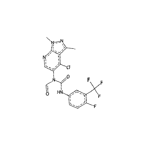 Cc1nn(C)c2ncc(N(C=O)C(=O)Nc3ccc(F)c(C(F)(F)F)c3)c(Cl)c12